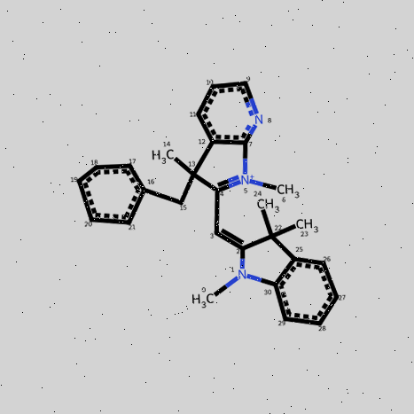 CN1C(=CC2=[N+](C)c3ncccc3C2(C)Cc2ccccc2)C(C)(C)c2ccccc21